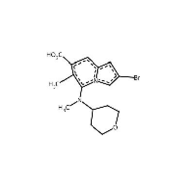 Cc1c(C(=O)O)cc2cc(Br)cn2c1N(C)C1CCOCC1